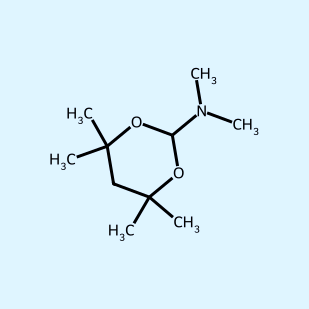 CN(C)C1OC(C)(C)CC(C)(C)O1